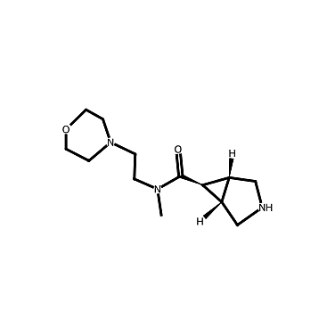 CN(CCN1CCOCC1)C(=O)[C@H]1[C@@H]2CNC[C@@H]21